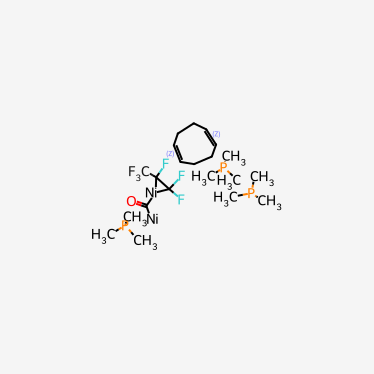 C1=C\CC/C=C\CC/1.CP(C)C.CP(C)C.CP(C)C.O=[C]([Ni])[Ni]1[C](F)(F)[C]1(F)C(F)(F)F